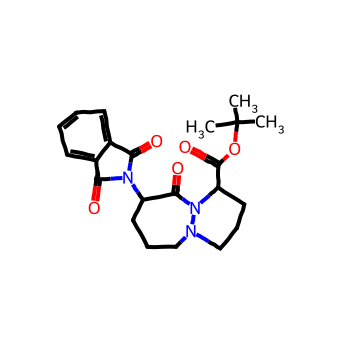 CC(C)(C)OC(=O)C1CCCN2CCCC(N3C(=O)c4ccccc4C3=O)C(=O)N12